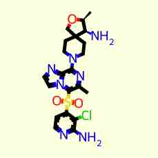 Cc1nc(N2CCC3(CC2)CO[C@@H](C)[C@H]3N)c2nccn2c1S(=O)(=O)c1ccnc(N)c1Cl